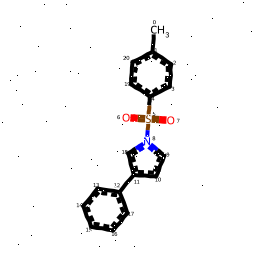 Cc1ccc(S(=O)(=O)n2ccc(-c3ccccc3)c2)cc1